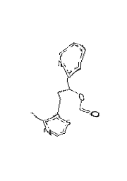 Cc1ncsc1CC(OC=O)c1ccccn1